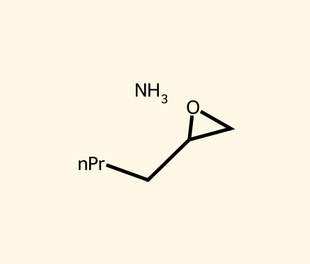 CCCCC1CO1.N